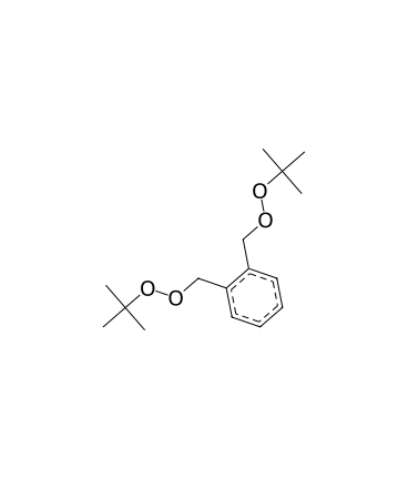 CC(C)(C)OOCc1ccccc1COOC(C)(C)C